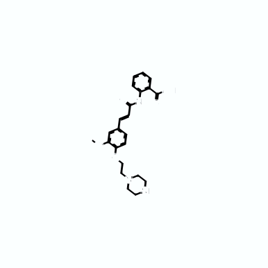 COc1cc(/C=C/C(=O)Nc2ccccc2C(=O)O)ccc1OCCN1CCNCC1